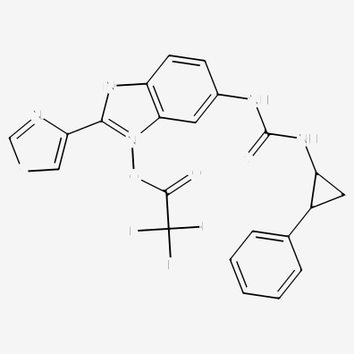 O=C(Nc1ccc2[nH]c(-c3cscn3)[n+](OC(=O)C(F)(F)F)c2c1)NC1CC1c1ccccc1